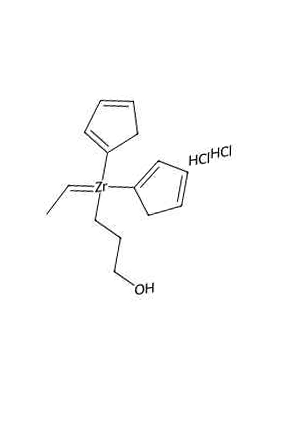 C[CH]=[Zr]([CH2]CCO)([C]1=CC=CC1)[C]1=CC=CC1.Cl.Cl